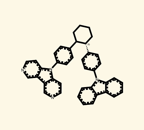 c1ccc2c(c1)c1ccccc1n2-c1ccc([C@H]2CCCCC2c2ccc(-n3c4ccncc4c4cnccc43)cc2)cc1